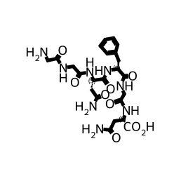 NCC(=O)NCC(=O)N[C@@H](CC(N)=O)C(=O)N[C@@H](Cc1ccccc1)C(=O)NCC(=O)N[C@@H](CC(N)=O)C(=O)O